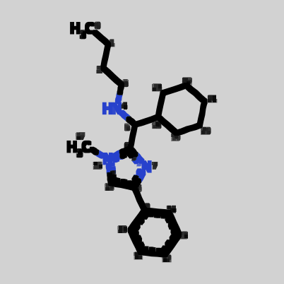 CCCCNC(c1nc(-c2ccccc2)cn1C)C1CCCCC1